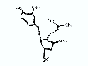 COc1cc(CCc2cc(O)cc(OC)c2CC=C(C)C)ccc1O